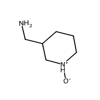 NCC1CCC[NH+]([O-])C1